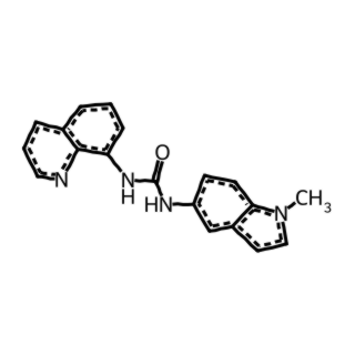 Cn1ccc2cc(NC(=O)Nc3cccc4cccnc34)ccc21